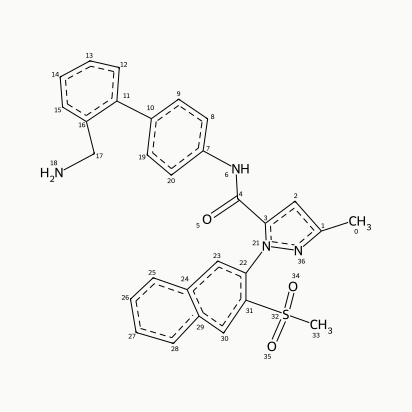 Cc1cc(C(=O)Nc2ccc(-c3ccccc3CN)cc2)n(-c2cc3ccccc3cc2S(C)(=O)=O)n1